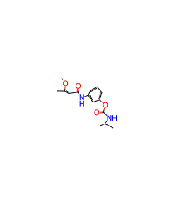 COC(C)=CC(=O)Nc1cccc(OC(=O)NC(C)C)c1